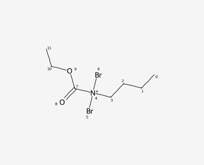 CCCC[N+](Br)(Br)C(=O)OCC